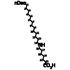 CCCCCCCCCCCCCCCCCCCCCCCCNCCCCCCC(=O)O